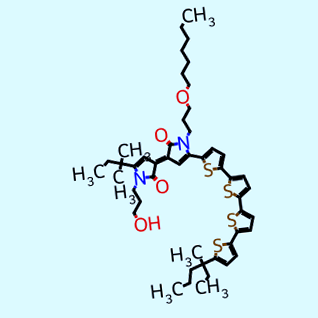 CCCCCCCOCCCN1C(=O)/C(=C2\C=C(C(C)(C)CC)N(CCCO)C2=O)C=C1c1ccc(-c2ccc(-c3ccc(-c4ccc(C(C)(CC)CCC)s4)s3)s2)s1